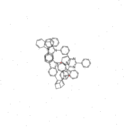 C1=CC2c3ccccc3N(c3ccc4c5ccc(C6=C7CC(C=C6n6c8ccccc8c8ccccc86)C7c6ccc(-c7nc(-c8ccccc8)nc(-c8cccc(-n9c%10ccccc%10c%10ccccc%109)c8)n7)cc6)cc5n(C5=CCCC=C5)c4c3)C2C=C1